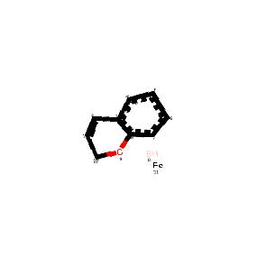 B.C1=Cc2ccccc2OC1.[Fe]